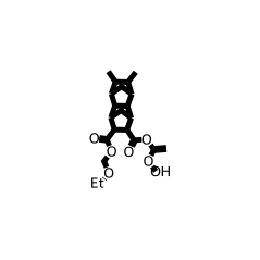 C=C(OO)OC(=O)C1C2CC(C1C(=O)OCOCC)C1C3CC(C(C)C3C)C21